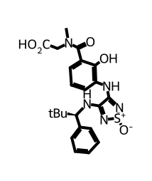 CN(CC(=O)O)C(=O)c1cccc(Nc2n[s+]([O-])nc2N[C@@H](c2ccccc2)C(C)(C)C)c1O